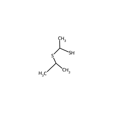 CC(C)SC(C)S